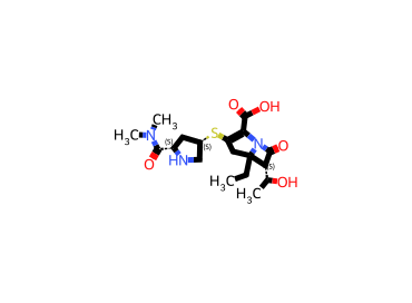 CCC12CC(S[C@@H]3CN[C@H](C(=O)N(C)C)C3)=C(C(=O)O)N1C(=O)[C@@H]2C(C)O